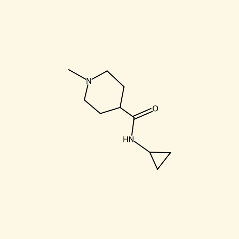 CN1CCC(C(=O)NC2CC2)CC1